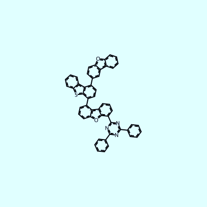 c1ccc(-c2nc(-c3ccccc3)nc(-c3cccc4c3oc3cccc(-c5ccc(-c6ccc7oc8ccccc8c7c6)c6c5sc5ccccc56)c34)n2)cc1